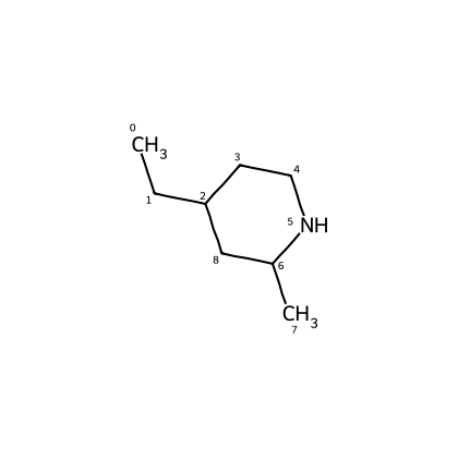 CCC1CCNC(C)C1